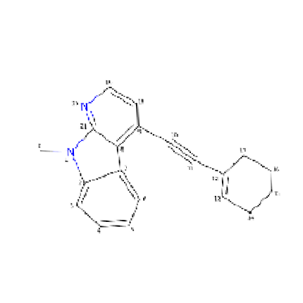 Cn1c2ccccc2c2c(C#CC3=CCCCC3)ccnc21